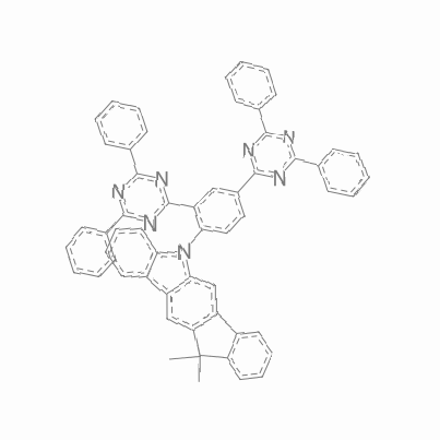 CC1(C)c2ccccc2-c2cc3c(cc21)c1ccccc1n3-c1ccc(-c2nc(-c3ccccc3)nc(-c3ccccc3)n2)cc1-c1nc(-c2ccccc2)nc(-c2ccccc2)n1